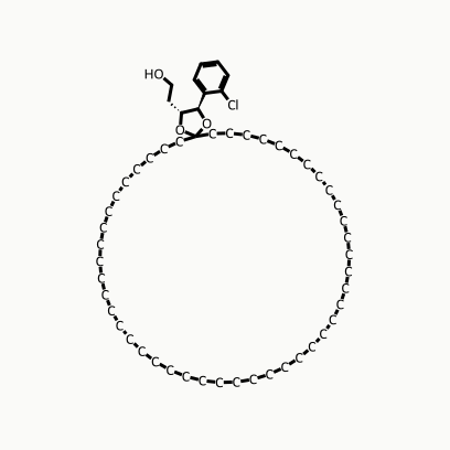 OCC[C@H]1OC2(CCCCCCCCCCCCCCCCCCCCCCCCCCCCCCCCCCCCCCCCCCCCC2)O[C@@H]1c1ccccc1Cl